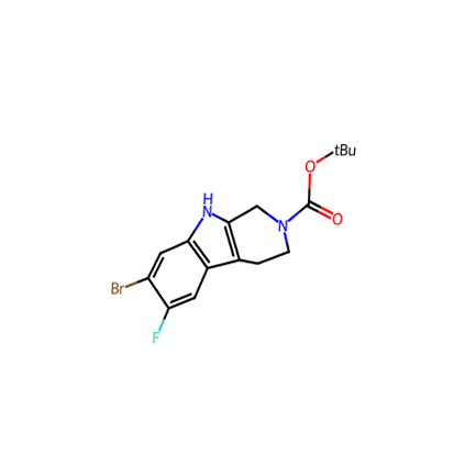 CC(C)(C)OC(=O)N1CCc2c([nH]c3cc(Br)c(F)cc23)C1